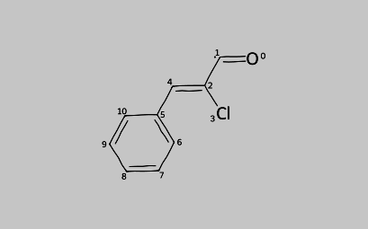 O=[C]C(Cl)=Cc1ccccc1